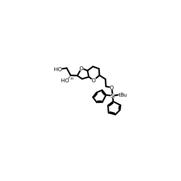 CC(C)(C)[Si](OCCC1CCC2OC([C@H](O)CO)CC2O1)(c1ccccc1)c1ccccc1